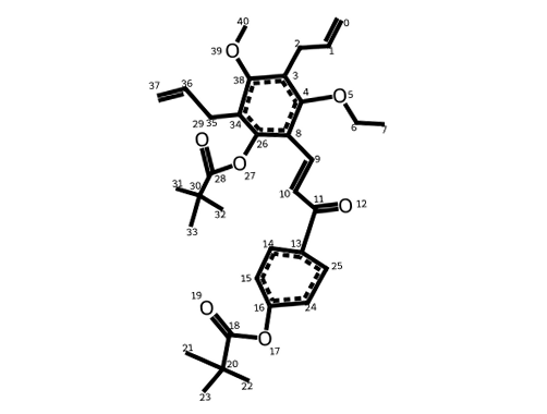 C=CCc1c(OCC)c(C=CC(=O)c2ccc(OC(=O)C(C)(C)C)cc2)c(OC(=O)C(C)(C)C)c(CC=C)c1OC